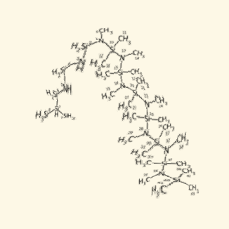 CN([SiH2]N[SiH2]N[SiH2][SiH]([SiH3])[SiH3])[Si](C)(C)N(C)[Si](C)(C)N(C)[Si](C)(C)N(C)[Si](C)(C)N(C)[Si](C)(C)N(C)[Si](C)(C)N(C)[Si](C)(C)C